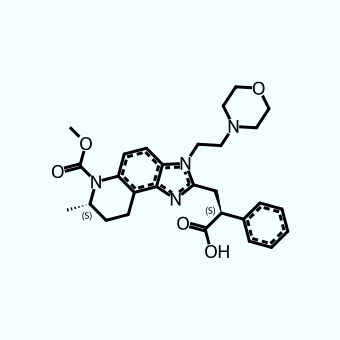 COC(=O)N1c2ccc3c(nc(C[C@H](C(=O)O)c4ccccc4)n3CCN3CCOCC3)c2CC[C@@H]1C